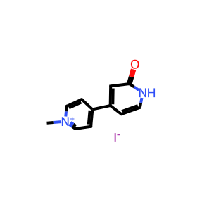 C[n+]1ccc(-c2cc[nH]c(=O)c2)cc1.[I-]